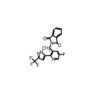 Cn1nc(C(F)(F)F)cc1-c1ncc(F)cc1CN1C(=O)c2ccccc2C1=O